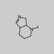 IN1CCCC2C=NCC21